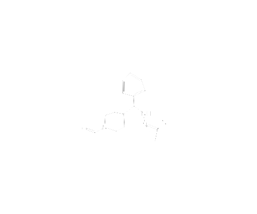 C/C(N)=N/NC(c1ccccc1)C1CCN(C=O)CC1